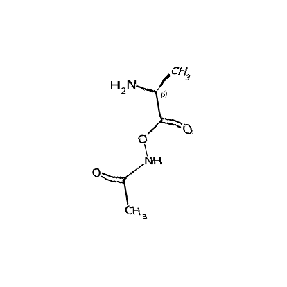 CC(=O)NOC(=O)[C@H](C)N